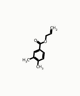 C=CCOC(=O)c1ccc(C)c(C)c1